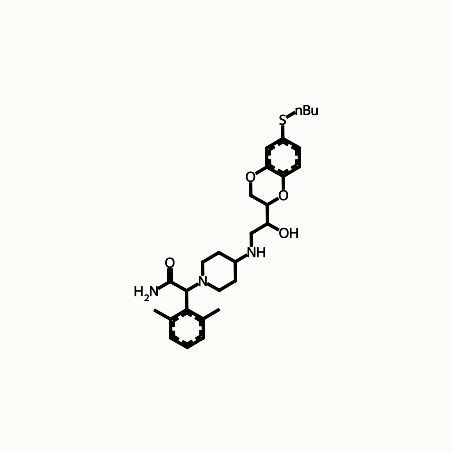 CCCCSc1ccc2c(c1)OCC(C(O)CNC1CCN(C(C(N)=O)c3c(C)cccc3C)CC1)O2